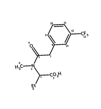 CCC(C(=O)O)N(C)C(=O)Cc1cccc(C(F)(F)F)c1